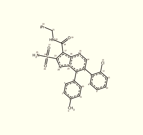 Cc1ccc(-c2c(-c3ccccc3Cl)cnc3c(C(=O)NCC(C)C)c(S(N)(=O)=O)nn23)cc1